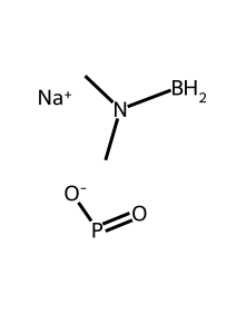 BN(C)C.O=P[O-].[Na+]